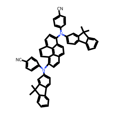 CC1(C)c2ccccc2-c2ccc(N(c3ccc(C#N)cc3)c3ccc4ccc5c(N(c6ccc(C#N)cc6)c6ccc7c(c6)C(C)(C)c6ccccc6-7)ccc6ccc3c4c65)cc21